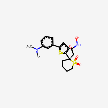 CC(=O)ON(C(C)=O)c1cccc(-c2ccc([C@@]3(CC(=O)NO)CCCCS3(=O)=O)s2)c1